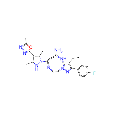 CCc1c(-c2ccc(F)cc2)nn2ccnc(N3NC(C)C(c4nnc(C)o4)=C3C)cc(N)[nH]c12